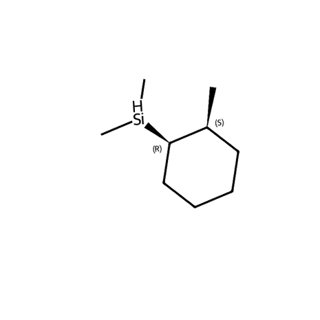 C[C@H]1CCCC[C@H]1[SiH](C)C